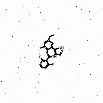 CCc1cc(F)c2c(c1)-c1[nH]ncc1NC(c1c(F)cccc1F)=N2